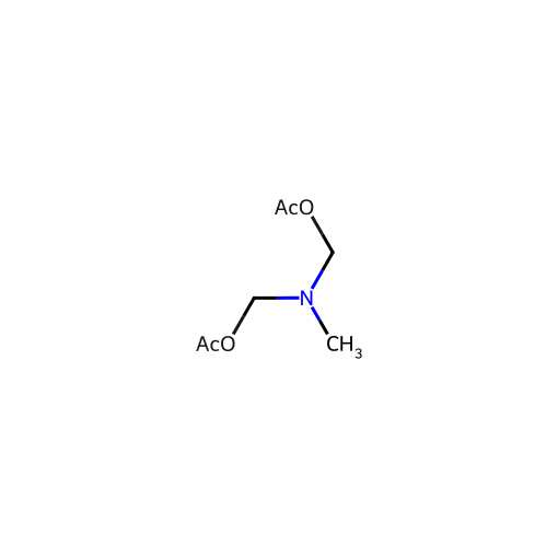 CC(=O)OCN(C)COC(C)=O